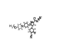 COC1CCN(c2ccc(-n3nc(C(=O)N=[N+]=[N-])cc3-c3ccc(C#N)c(F)c3)cc2)CC1